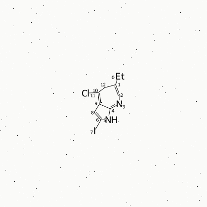 CCC1=CN=c2[nH]c(I)cc2=C(Cl)C1